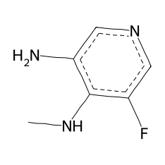 CNc1c(N)cncc1F